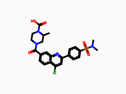 CC1CN(C(=O)c2ccc3c(Cl)cc(-c4ccc(S(=O)(=O)N(C)C)cc4)nc3c2)CCN1C(=O)O